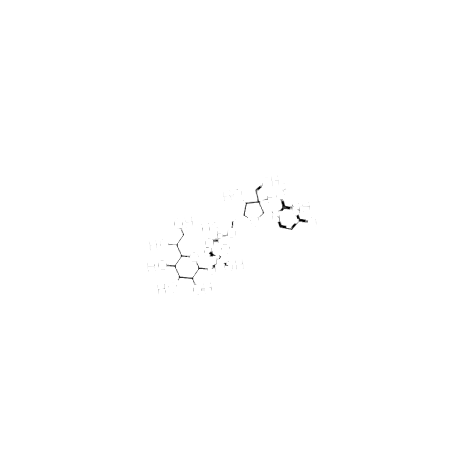 C=C[C@@]1(F)[C@H](O)[C@@H](COP(=O)(S)OP(=O)(O)OC2OC([C@@H](O)CO)C(O)C(O)C2O)O[C@H]1n1ccc(=O)[nH]c1=O